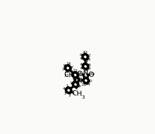 Cc1ccccc1-c1ccc2c(c1)c1cc(-c3ccccc3C)ccc1n2-c1cccc2c1C(=O)N(c1ccc(-c3ccccc3)cc1)C2=O